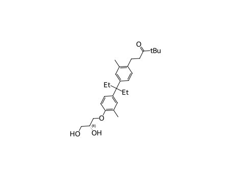 CCC(CC)(c1ccc(CCC(=O)C(C)(C)C)c(C)c1)c1ccc(OC[C@H](O)CO)c(C)c1